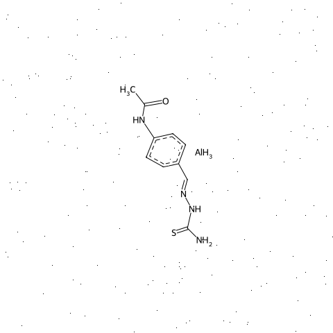 CC(=O)Nc1ccc(/C=N/NC(N)=S)cc1.[AlH3]